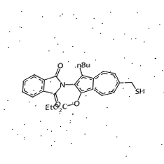 CCCCc1c2ccc(CS)ccc-2c(OC(=O)OCC)c1N1C(=O)c2ccccc2C1=O